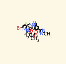 CC(=O)N(C(=O)C1(C(C)=O)CC(F)CN1n1ncc2cc(-c3cnc(C)nc3)c(OCC(=O)N(C)C)cc21)c1cccc(Br)n1